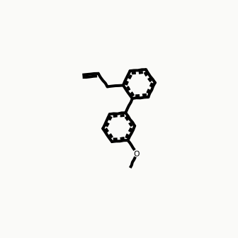 C=CCc1ccccc1-c1cccc(OC)c1